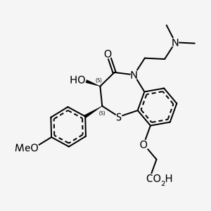 COc1ccc([C@@H]2Sc3c(OCC(=O)O)cccc3N(CCN(C)C)C(=O)[C@@H]2O)cc1